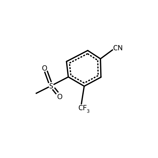 CS(=O)(=O)c1ccc(C#N)cc1C(F)(F)F